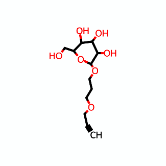 C#CCOCCCOC1OC(CO)C(O)C(O)C1O